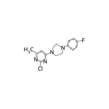 Cc1cc(N2CCN(c3ccc(F)cc3)CC2)nc(Cl)n1